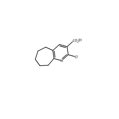 CCOC(=O)c1cc2c(nc1Cl)CCCCC2